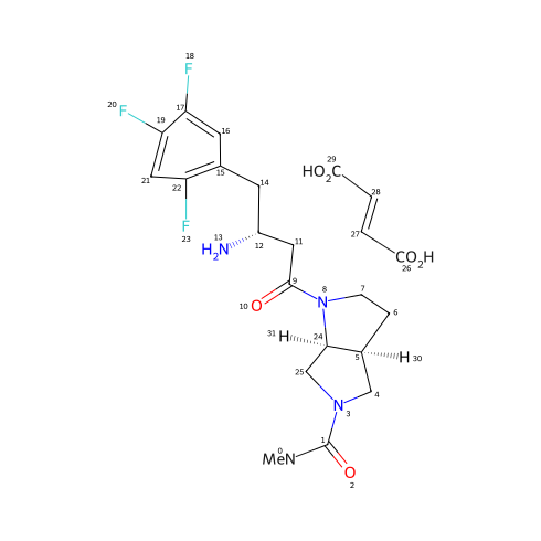 CNC(=O)N1C[C@@H]2CCN(C(=O)C[C@H](N)Cc3cc(F)c(F)cc3F)[C@@H]2C1.O=C(O)C=CC(=O)O